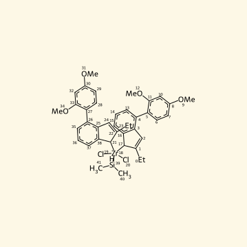 CCC1=Cc2c(-c3ccc(OC)cc3OC)cccc2[CH]1[Zr]([Cl])([Cl])([CH]1C(CC)=Cc2c(-c3ccc(OC)cc3OC)cccc21)[SiH](C)C